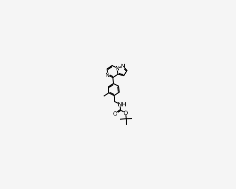 Cc1cc(-c2nccn3nccc23)ccc1CNC(=O)OC(C)(C)C